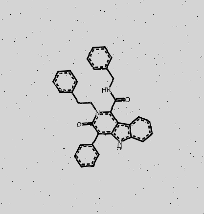 O=C(NCc1ccccc1)c1c2c([nH]c3ccccc32)c(-c2ccccc2)c(=O)n1CCc1ccccc1